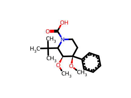 CO[C@H]1C(C(C)(C)C)N(C(=O)O)CC[C@]1(OC)c1ccccc1